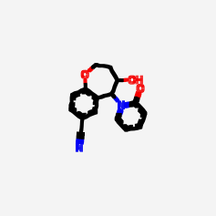 N#Cc1ccc2c(c1)C(n1ccccc1=O)C(O)CCO2